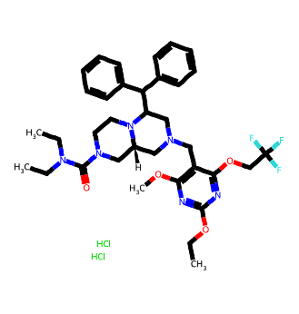 CCOc1nc(OC)c(CN2CC(C(c3ccccc3)c3ccccc3)N3CCN(C(=O)N(CC)CC)C[C@H]3C2)c(OCC(F)(F)F)n1.Cl.Cl